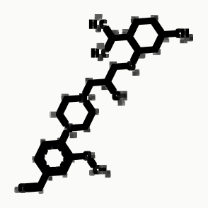 COc1cc(C=O)ccc1N1CCN(CC(O)COC2CC(C)CCC2C(C)C)CC1